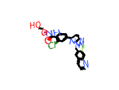 O=C(NOCCO)c1ccc(-c2ccc3nnn(Cc4cc5cccnc5cc4F)c3n2)cc1Cl